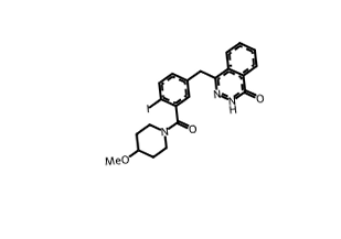 COC1CCN(C(=O)c2cc(Cc3n[nH]c(=O)c4ccccc34)ccc2I)CC1